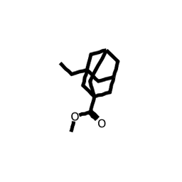 CCC12CC3CC(C1)CC(C(=O)OC)(C3)C2